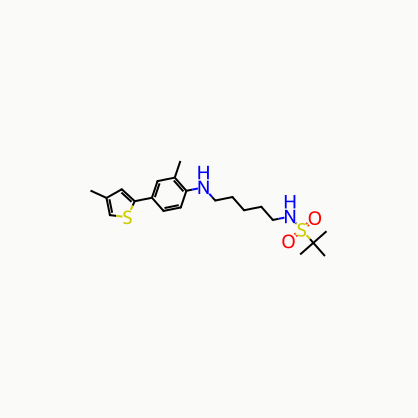 Cc1csc(-c2ccc(NCCCCCNS(=O)(=O)C(C)(C)C)c(C)c2)c1